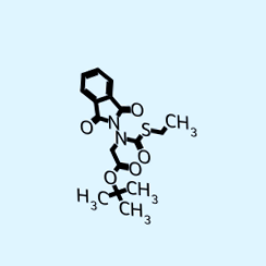 CCSC(=O)N(CC(=O)OC(C)(C)C)N1C(=O)c2ccccc2C1=O